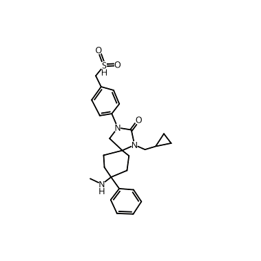 CNC1(c2ccccc2)CCC2(CC1)CN(c1ccc(C[SH](=O)=O)cc1)C(=O)N2CC1CC1